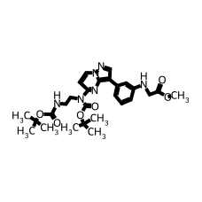 COC(=O)CNc1cccc(-c2cnn3ccc(N(CCNC(=O)OC(C)(C)C)C(=O)OC(C)(C)C)nc23)c1